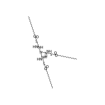 CCCCCCCCCCCCCCCCOC(=O)CCSCCCC(=N)NCCCN(CCCNC(=N)CCCSCCC(=O)OCCCCCCCCCCCCCCCC)CCCNC(=N)CCSCCC(=O)OCCCCCCCCCCCCCCCC